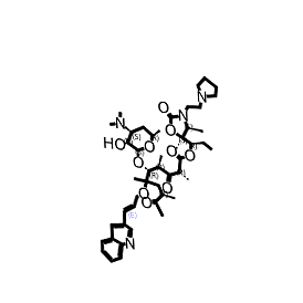 CC[C@@H](OC(=O)[C@H](C)C(=O)[C@H](C)[C@@H](O[C@@H]1O[C@H](C)C[C@H](N(C)C)[C@H]1O)C(C)(C[C@@H](C)C(C)=O)OC/C=C/c1cnc2ccccc2c1)[C@@]1(C)OC(=O)N(CCN2CCCC2)[C@H]1C